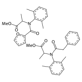 COC(=O)C(C)N(C(=O)Cc1ccccc1)c1c(C)cccc1C.COC(=O)C(C)N(C(=O)c1ccco1)c1c(C)cccc1C